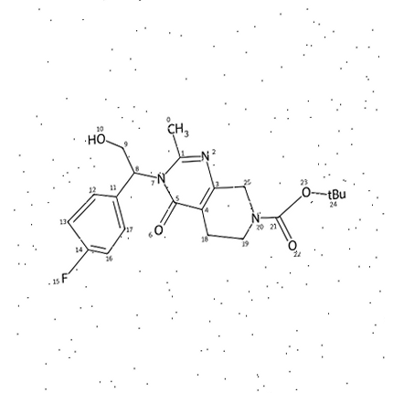 Cc1nc2c(c(=O)n1C(CO)c1ccc(F)cc1)CCN(C(=O)OC(C)(C)C)C2